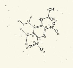 CCC(C)c1c(OC(=O)O)c([N+](=O)[O-])cc([N+](=O)[O-])c1C(C)C